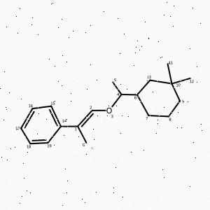 C/C(=C\OC(C)C1CCCC(C)(C)C1)c1ccccc1